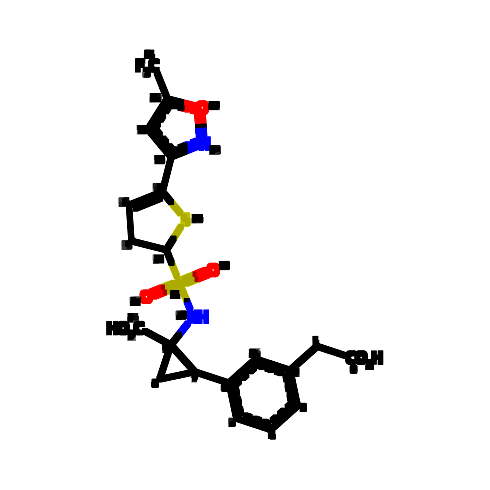 O=C(O)Cc1cccc(C2CC2(NS(=O)(=O)C2CC=C(c3cc(C(F)(F)F)on3)S2)C(=O)O)c1